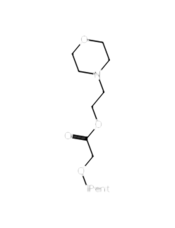 CCCC(C)OCC(=O)OCCN1CCOCC1